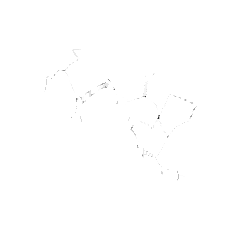 CC1=NOC2(C(=O)O/N=C(\C)C(F)F)CCCC12